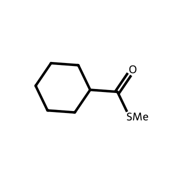 CSC(=O)C1CCCCC1